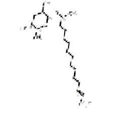 C[C@H](CCCCCCCCCC/C=C/C(=O)O)O[C@@H]1O[C@@H](C)[C@H](O)C[C@H]1O